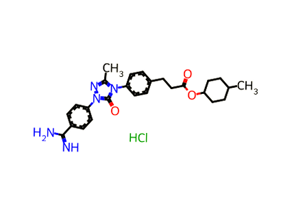 Cc1nn(-c2ccc(C(=N)N)cc2)c(=O)n1-c1ccc(CCC(=O)OC2CCC(C)CC2)cc1.Cl